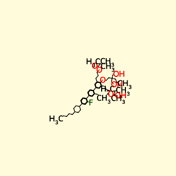 C=C(C)C(C)(O)OCCCc1cc(-c2ccc(-c3ccc(C4CCC(CCCCC)CC4)cc3F)cc2CC)cc(CCCOC(=O)C(C)(C)C)c1OCCC(CO)(CO)CCC